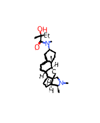 CCC(C)(O)C(=O)N(C)[C@H]1CC[C@@]2(C)C(=CC[C@H]3[C@@H]4CC[C@@H]5[C@H](C)N(C)C[C@@]54CC[C@@H]32)C1